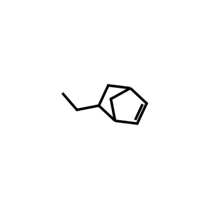 CC[C]1CC2C=CC1C2